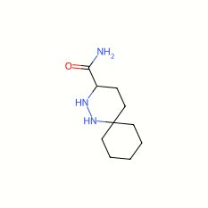 NC(=O)C1CCC2(CCCCC2)NN1